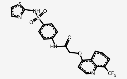 O=C(COc1ccnc2c(C(F)(F)F)cccc12)Nc1ccc(S(=O)(=O)Nc2nccs2)cc1